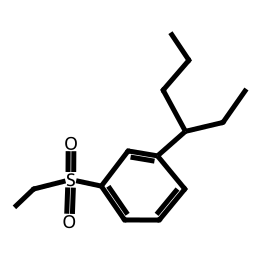 CCCC(CC)c1cccc(S(=O)(=O)CC)c1